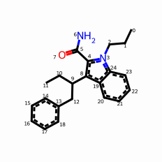 CCCn1c(C(N)=O)c(C(CC)Cc2ccccc2)c2ccccc21